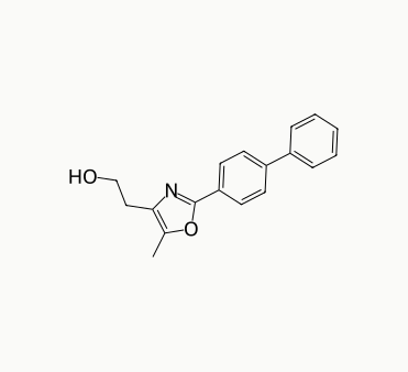 Cc1oc(-c2ccc(-c3ccccc3)cc2)nc1CCO